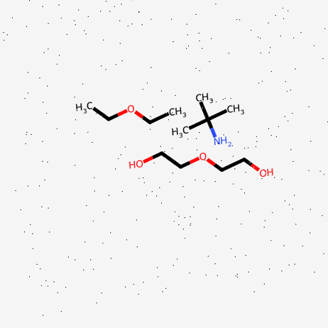 CC(C)(C)N.CCOCC.OCCOCCO